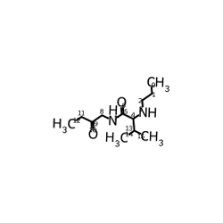 CCCNC(C(=O)NCC(=O)CC)C(C)C